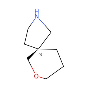 C1COC[C@@]2(C1)CCNC2